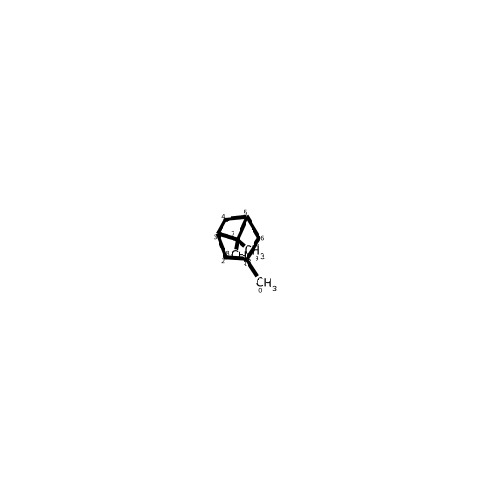 CC1CC2CC(C1)C2(C)C